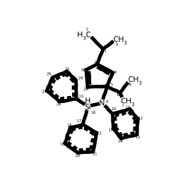 CC(C)C1=CC(C(C)C)(N(c2ccccc2)[SiH](c2ccccc2)c2ccccc2)C=C1